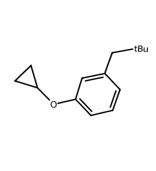 CC(C)(C)Cc1cccc(OC2CC2)c1